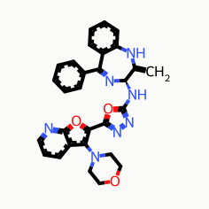 C=C1Nc2ccccc2C(c2ccccc2)=N[C@@H]1Nc1nnc(-c2oc3ncccc3c2N2CCOCC2)o1